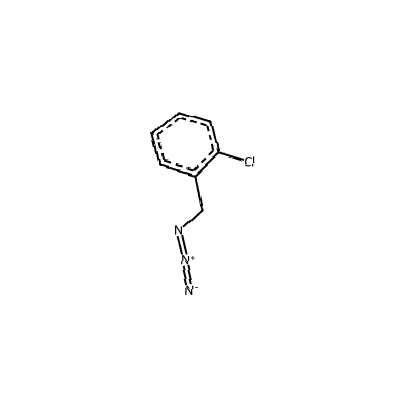 [N-]=[N+]=NCc1ccccc1Cl